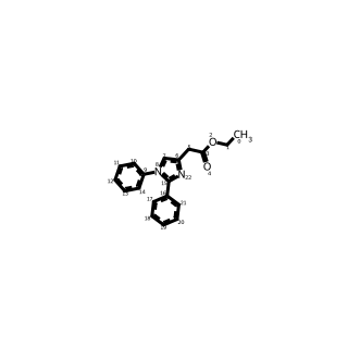 CCOC(=O)Cc1cn(-c2ccccc2)c(-c2ccccc2)n1